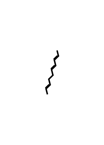 CC=CC=CCCC=CC